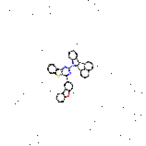 c1cc2c3c(cccc3c1)-c1c-2c2ccccc2n1-c1nc(-c2ccc3oc4ccccc4c3c2)c2sc3ccccc3c2n1